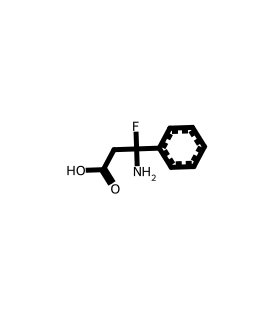 NC(F)(CC(=O)O)c1ccccc1